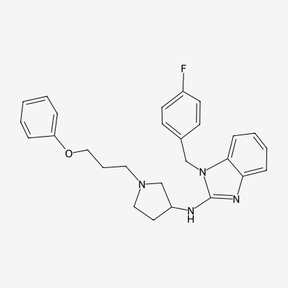 Fc1ccc(Cn2c(NC3CCN(CCCOc4ccccc4)C3)nc3ccccc32)cc1